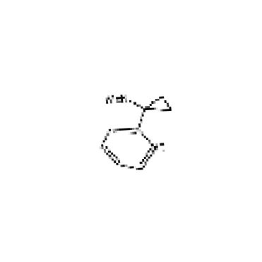 CNC1(c2ccccc2)CC1.Cl